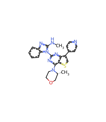 CNc1nc2ccccc2n1-c1nc(N2CCOC[C@H]2C)c2scc(-c3ccncc3)c2n1